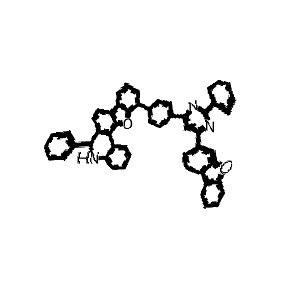 c1ccc(-c2nc(-c3ccc(-c4cccc5c4oc4c6c(ccc45)C(c4ccccc4)Nc4ccccc4-6)cc3)cc(-c3ccc4c(c3)oc3ccccc34)n2)cc1